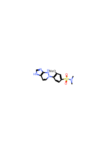 COc1cc(S(=O)(=O)N(C)C)ccc1N1C=Cc2[nH]cnc2N1